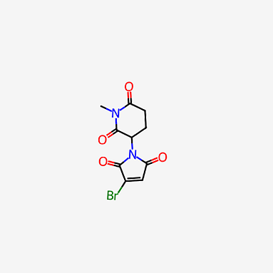 CN1C(=O)CCC(N2C(=O)C=C(Br)C2=O)C1=O